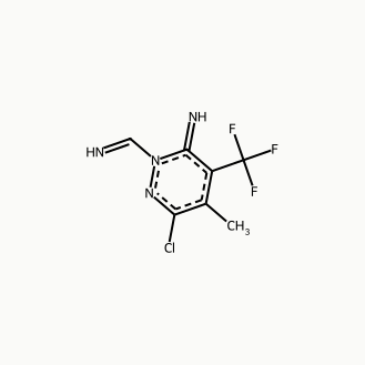 Cc1c(Cl)nn(C=N)c(=N)c1C(F)(F)F